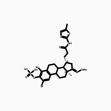 CON=C1C[C@@H](CCC(=O)Nc2ncc(C)s2)C2C3CCc4c(cc(Br)c(OP(=O)(O)O)c4Br)C3CC[C@]12C